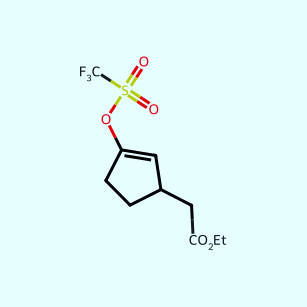 CCOC(=O)CC1C=C(OS(=O)(=O)C(F)(F)F)CC1